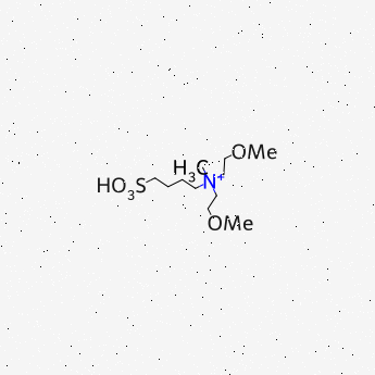 COCC[N+](C)(CCCCS(=O)(=O)O)CCOC